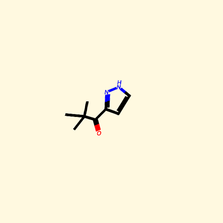 CC(C)(C)C(=O)c1cc[nH]n1